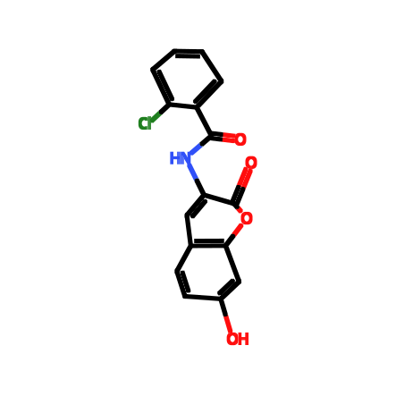 O=C(Nc1cc2ccc(O)cc2oc1=O)c1ccccc1Cl